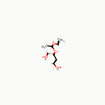 CCOC(C)O[C@@H](CO)CCO